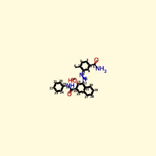 Cc1ccc(C(N)=O)cc1/N=N/c1c(O)c(C(=O)Nc2ccccc2)cc2ccccc12